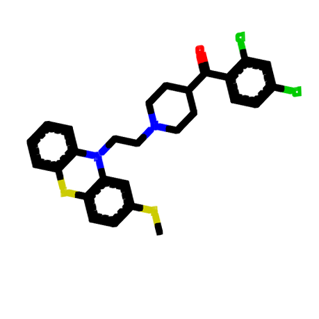 CSc1ccc2c(c1)N(CCN1CCC(C(=O)c3ccc(Cl)cc3Cl)CC1)c1ccccc1S2